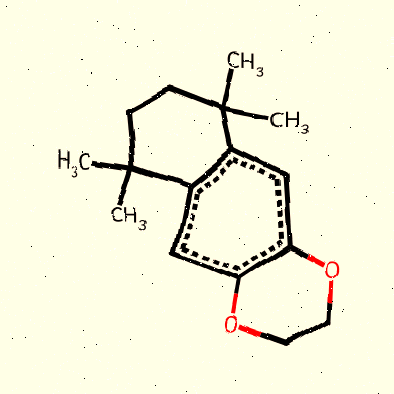 CC1(C)CCC(C)(C)c2cc3c(cc21)OCCO3